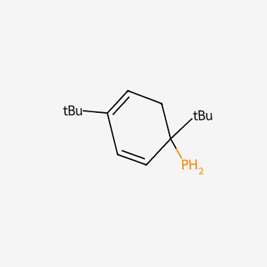 CC(C)(C)C1=CCC(P)(C(C)(C)C)C=C1